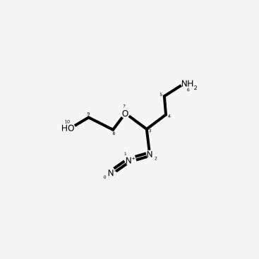 [N-]=[N+]=NC(CCN)OCCO